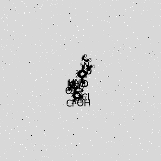 CCC(C)N(Cc1ccc(C(=O)Nc2sc3c(Cl)c(O)c(Cl)cc3c2C(N)=O)cc1)C(C)=O